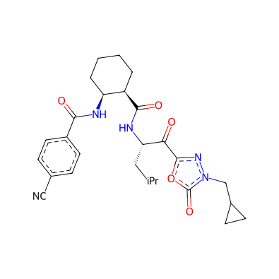 CC(C)C[C@H](NC(=O)[C@@H]1CCCC[C@@H]1NC(=O)c1ccc(C#N)cc1)C(=O)c1nn(CC2CC2)c(=O)o1